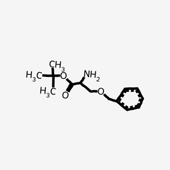 CC(C)(C)OC(=O)C(N)COCc1ccccc1